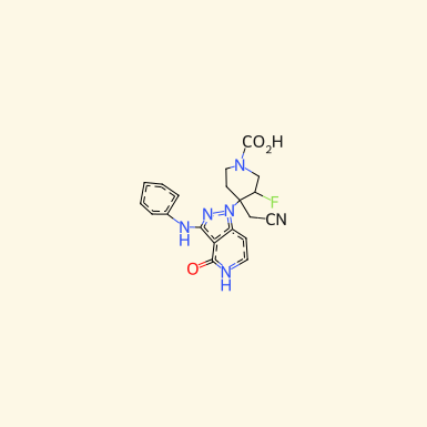 N#CCC1(n2nc(Nc3ccccc3)c3c(=O)[nH]ccc32)CCN(C(=O)O)CC1F